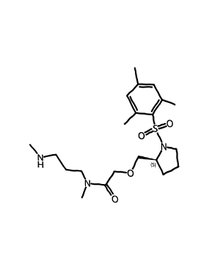 CNCCCN(C)C(=O)COC[C@@H]1CCCN1S(=O)(=O)c1c(C)cc(C)cc1C